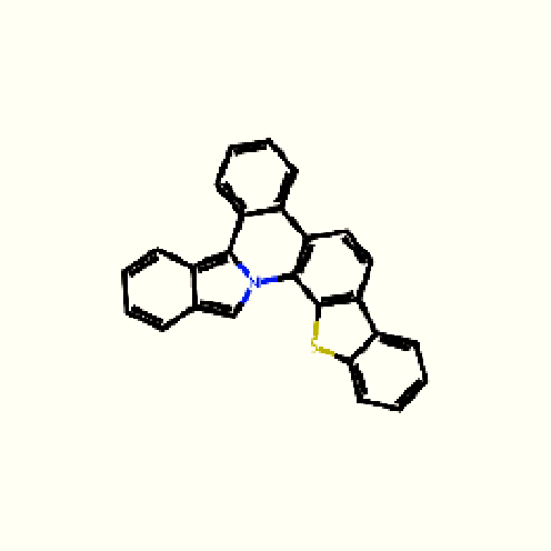 c1ccc2c(c1)cn1c2c2ccccc2c2ccc3c4ccccc4sc3c21